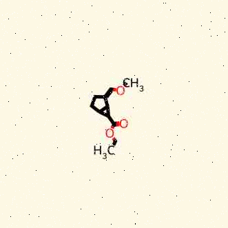 CCOC(=O)C1C2CCC(=COC)C21